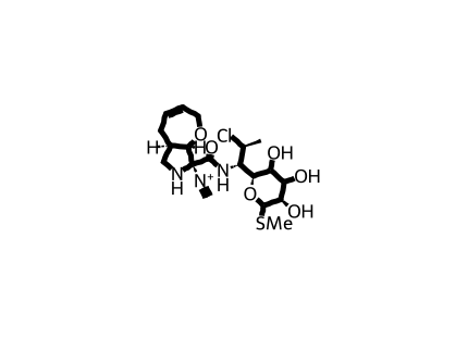 C#[N+][C@]1(C(=O)N[C@H]([C@H](C)Cl)[C@H]2OC(SC)[C@H](O)C(O)C2O)NC[C@H]2CC=CCO[C@H]21